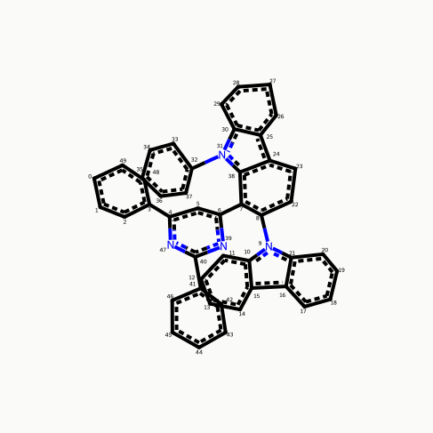 c1ccc(-c2cc(-c3c(-n4c5ccccc5c5ccccc54)ccc4c5ccccc5n(-c5ccccc5)c34)nc(-c3ccccc3)n2)cc1